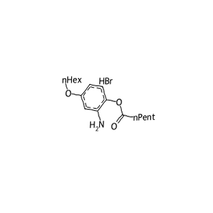 Br.CCCCCCOc1ccc(OC(=O)CCCCC)c(N)c1